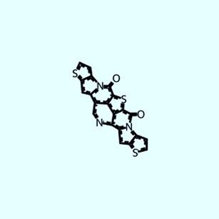 O=c1c2sc3c(=O)n4c5ccsc5cc4c4ncc(c2c34)c2cc3sccc3n12